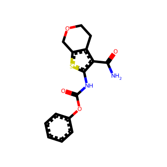 NC(=O)c1c(NC(=O)Oc2ccccc2)sc2c1CCOC2